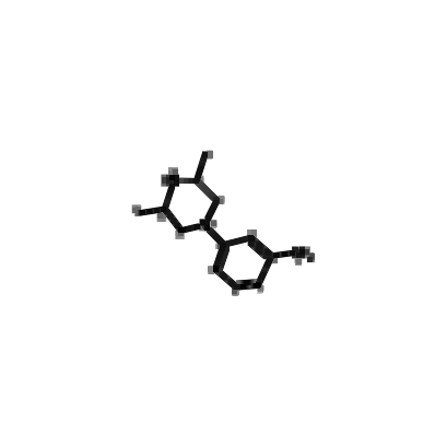 CC1CN(c2cccc(N)c2)CC(C)N1